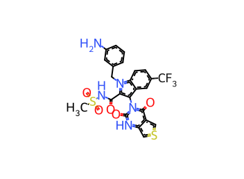 CS(=O)(=O)NC(=O)c1c(-n2c(=O)[nH]c3cscc3c2=O)c2cc(C(F)(F)F)ccc2n1Cc1cccc(N)c1